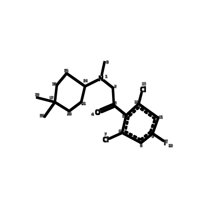 CN(CC(=O)c1c(Cl)cc(F)cc1Cl)C1CCC(C)(C)CC1